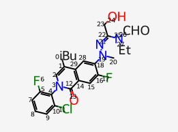 CCC(C)c1cn(-c2c(F)cccc2Cl)c(=O)c2cc(F)c(N(C)/N=C(/CO)N(C=O)CC)cc12